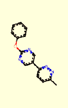 Cc1ccc(-c2cnc(Oc3ccccc3)nc2)nn1